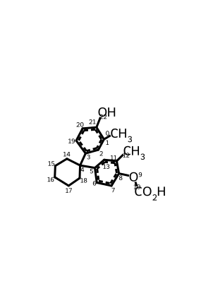 Cc1cc(C2(c3ccc(OC(=O)O)c(C)c3)CCCCC2)ccc1O